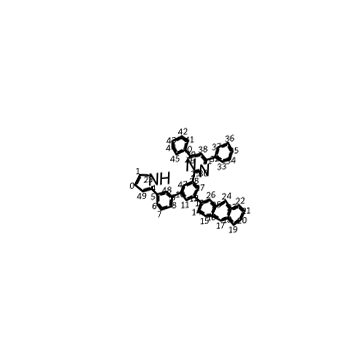 C1=CCNC(c2cccc(-c3cc(-c4ccc5cc6ccccc6cc5c4)cc(-c4nc(-c5ccccc5)cc(-c5ccccc5)n4)c3)c2)=C1